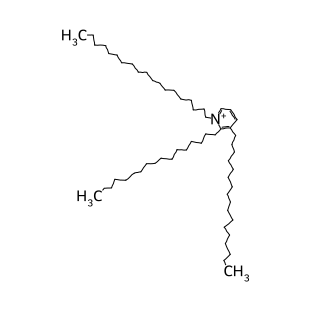 CCCCCCCCCCCCCCCCCCC[n+]1cccc(CCCCCCCCCCCCCCCCC)c1CCCCCCCCCCCCCCCCC